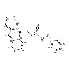 O=C(CCP1c2ccccc2C=C2C=CC=CC21)OCc1ccccc1